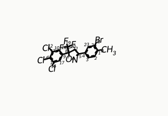 Cc1ccc(C2=NOC(c3cc(Cl)c(Cl)c(Cl)c3)(C(F)(F)F)C2)cc1Br